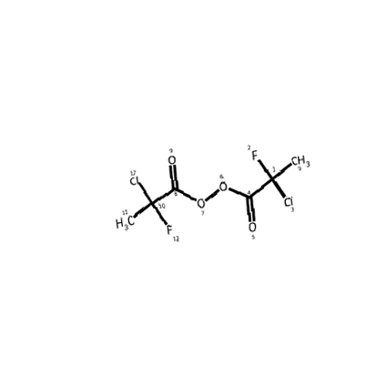 CC(F)(Cl)C(=O)OOC(=O)C(C)(F)Cl